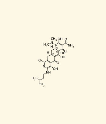 CC(C)CCNc1nc(Cl)c2c(c1O)C(=O)C1=C(O)[C@]3(O)C(=O)C(C(N)=O)=C(O)[C@@H](N(C)C)[C@@H]3C[C@@H]1C2